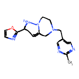 Cc1ncc(CN2CCN3NC(c4ncco4)C=C3C2)cn1